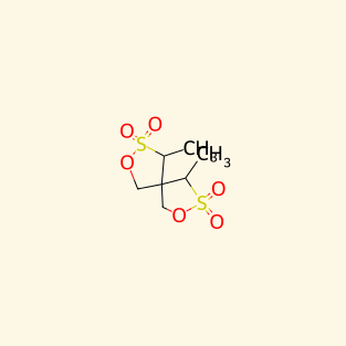 CC1C2(COS1(=O)=O)COS(=O)(=O)C2C